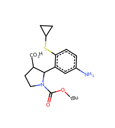 CC(C)(C)OC(=O)N1CCC(C(=O)O)C1c1cc(N)ccc1SC1CC1